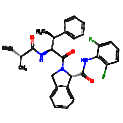 CN[C@@H](C)C(=O)N[C@H](C(=O)N1Cc2ccccc2[C@H]1C(=O)Nc1c(F)cccc1F)[C@@H](C)c1ccccc1